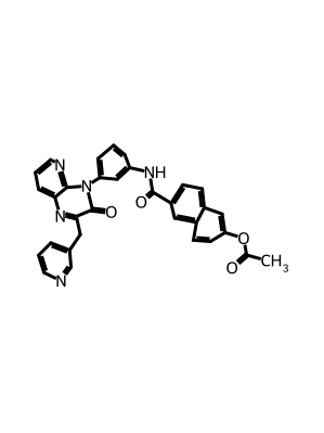 CC(=O)Oc1ccc2cc(C(=O)Nc3cccc(-n4c(=O)c(Cc5cccnc5)nc5cccnc54)c3)ccc2c1